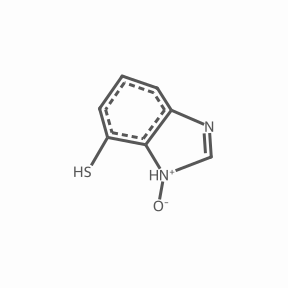 [O-][NH+]1C=Nc2cccc(S)c21